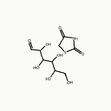 O=C1CSC(=O)N1.O=CC(O)C(O)C(O)C(O)CO